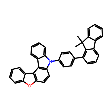 CC1(C)c2ccccc2-c2cccc(-c3ccc(-n4c5ccccc5c5c6c(ccc54)oc4ccccc46)cc3)c21